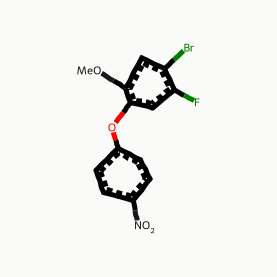 COc1cc(Br)c(F)cc1Oc1ccc([N+](=O)[O-])cc1